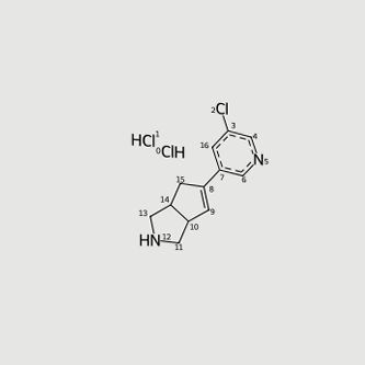 Cl.Cl.Clc1cncc(C2=CC3CNCC3C2)c1